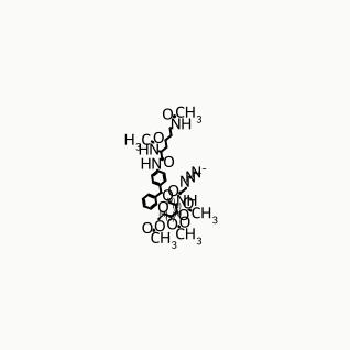 CC(=O)NCCCCC(NC(C)=O)C(=O)Nc1ccc(C(O[C@@H]2O[C@H](COC(C)=O)[C@@H](OC(C)=O)[C@H](OC(C)=O)[C@@H]2NC(=O)CN=[N+]=[N-])c2ccccc2)cc1